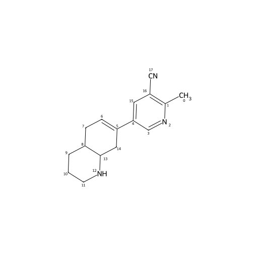 Cc1ncc(C2=CCC3CCCNC3C2)cc1C#N